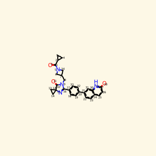 O=C(C1CC1)N1CC(CN2C(=O)C3(CC3)N=C2c2ccc(-c3ccc4ccc(=O)[nH]c4c3)cc2)C1